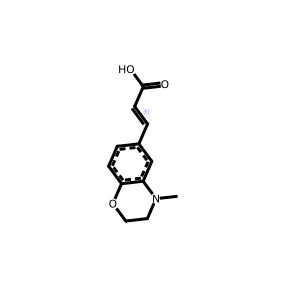 CN1CCOc2ccc(/C=C/C(=O)O)cc21